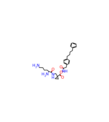 NCCCC[C@H](N)C(=O)NCC1(C(=O)ONC(=O)Cc2ccc(CCCCc3ccccc3)cc2)CC1